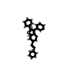 C(=C\c1ccc2c(-c3ccccc3)c(-c3ccccc3)oc2c1)/c1ccccc1